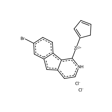 Brc1ccc2c3[c]([Zr+2][C]4=CC=CC4)[nH]ccc-3cc2c1.[Cl-].[Cl-]